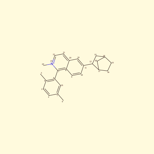 Cc1ccc(C)c(-c2c3ccc(C4CC5CCC4C5)cc3cc[n+]2C)c1